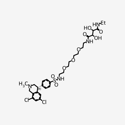 CCNC(=O)C(O)C(O)C(=O)NCCOCCOCCOCCNS(=O)(=O)c1ccc([C@H]2CN(C)Cc3c(Cl)cc(Cl)cc32)cc1